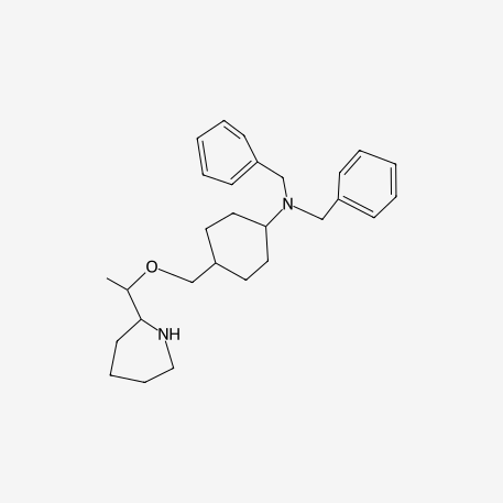 CC(OCC1CCC(N(Cc2ccccc2)Cc2ccccc2)CC1)C1CCCCN1